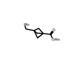 COC(=O)C12CC(CC(C)(C)C)(C1)C2